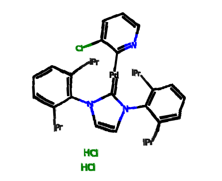 CC(C)c1cccc(C(C)C)c1-n1ccn(-c2c(C(C)C)cccc2C(C)C)[c]1=[Pd][c]1ncccc1Cl.Cl.Cl